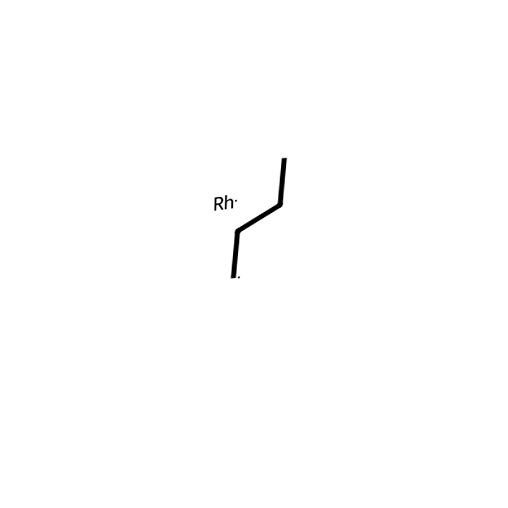 [CH2]CCC.[Rh]